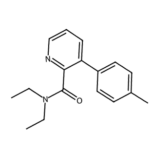 CCN(CC)C(=O)c1ncccc1-c1ccc(C)cc1